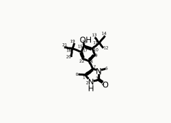 Cc1[nH]c(=O)n(C)c1-c1cc(C(C)(C)C)c(O)c(C(C)(C)C)c1